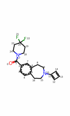 O=C(c1ccc2c(c1)CCN(C1=CC=C1)CC2)N1CCC(F)(F)CC1